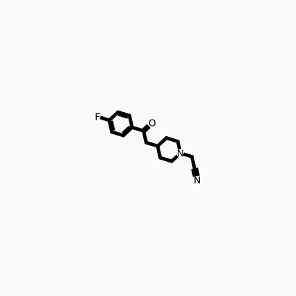 N#CCN1CCC(CC(=O)c2ccc(F)cc2)CC1